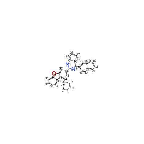 c1ccc(-c2cc(-c3nc(-c4ccc5ccccc5c4)c4ccccc4n3)cc3oc4ccccc4c23)cc1